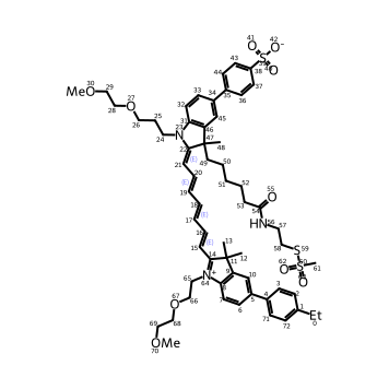 CCc1ccc(-c2ccc3c(c2)C(C)(C)C(/C=C/C=C/C=C/C=C2/N(CCCOCCOC)c4ccc(-c5ccc(S(=O)(=O)[O-])cc5)cc4C2(C)CCCCCC(=O)NCCSS(C)(=O)=O)=[N+]3CCOCCOC)cc1